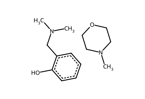 CN(C)Cc1ccccc1O.CN1CCOCC1